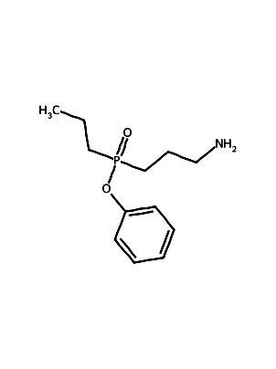 CCCP(=O)(CCCN)Oc1ccccc1